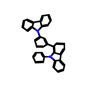 c1ccc(-n2c3ccccc3c3cccc(-c4cccc(-n5c6ccccc6c6ccccc65)c4)c32)cc1